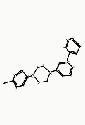 Cc1ccc(N2CCN(c3cccc(-c4ccccc4)c3)CC2)cc1